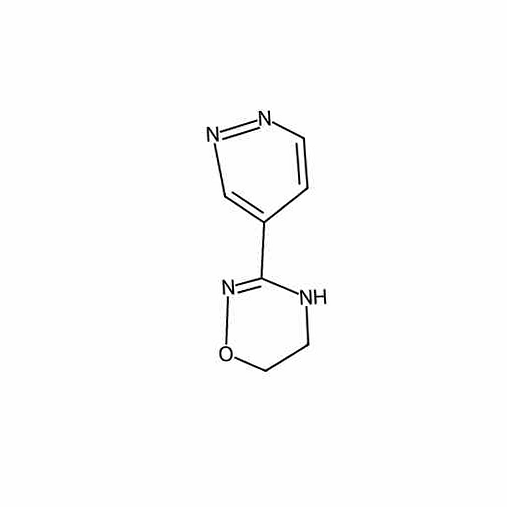 c1cc(C2=NOCCN2)cnn1